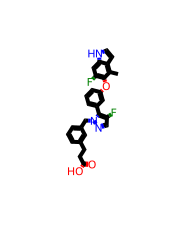 Cc1c(Oc2cccc(-c3c(F)cnn3Cc3cccc(CCC(=O)O)c3)c2)c(F)cc2[nH]ccc12